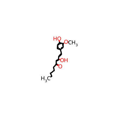 CCCCCC(=O)/C=C(O)/C=C/c1ccc(O)c(OC)c1